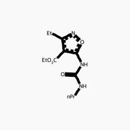 CCCNC(=O)Nc1onc(CC)c1C(=O)OCC